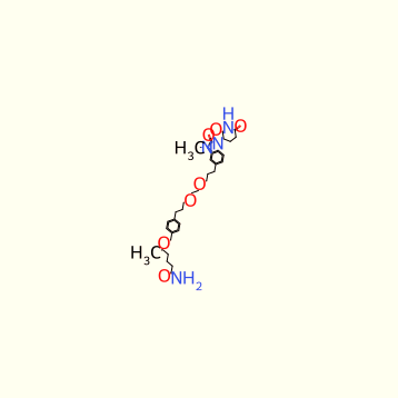 CC(CCCC(N)=O)OCc1ccc(CCCOCCOCCCc2ccc3c(c2)n(C)c(=O)n3C2CCC(=O)NC2=O)cc1